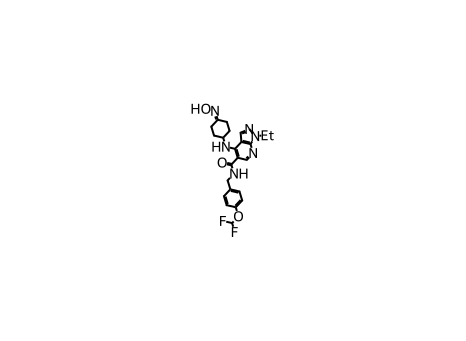 CCn1ncc2c(NC3CCC(=NO)CC3)c(C(=O)NCc3ccc(OC(F)F)cc3)cnc21